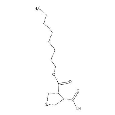 CCCCCCCCOC(=O)C1CSCC1C(=O)O